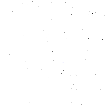 CCOC(=O)c1sc2ccc(/C=C/c3ccncc3)cc2c1C